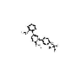 C=C1C=CC(c2ccccc2OC)=CN1c1ccc(OC(F)(F)F)cc1